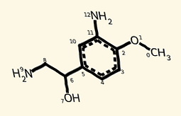 COc1ccc(C(O)CN)cc1N